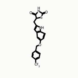 O=C1NC(=O)C(Cc2cc3cc(OCc4ccc(C(F)(F)F)cc4)ccc3[nH]2)S1